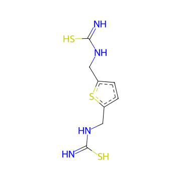 N=C(S)NCc1ccc(CNC(=N)S)s1